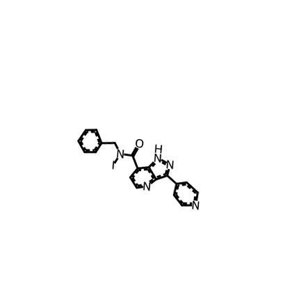 O=C(c1ccnc2c(-c3ccncc3)n[nH]c12)N(I)Cc1ccccc1